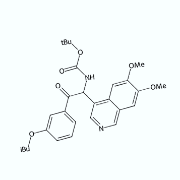 CCC(C)Oc1cccc(C(=O)C(NC(=O)OC(C)(C)C)c2cncc3cc(OC)c(OC)cc23)c1